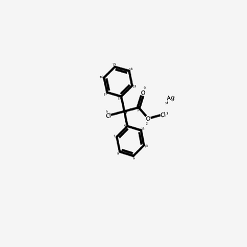 O=C(OCl)C(Cl)(c1ccccc1)c1ccccc1.[Ag]